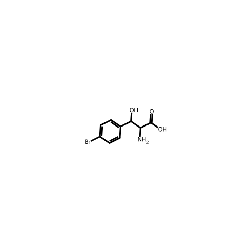 NC(C(=O)O)C(O)c1ccc(Br)cc1